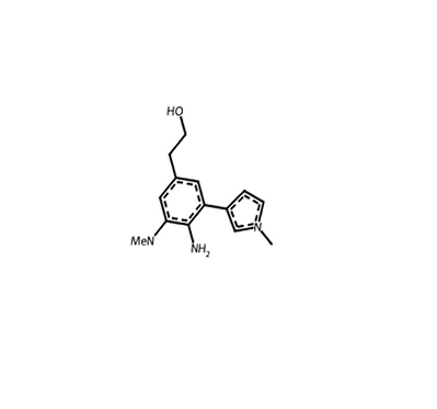 CNc1cc(CCO)cc(-c2ccn(C)c2)c1N